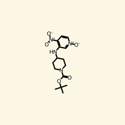 CC(C)(C)OC(=O)N1CCC(Nc2c[n+]([O-])ccc2[N+](=O)[O-])CC1